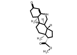 COC(=O)[C@H]1CC[C@H]2[C@@H]3CNC4=CC(=O)CC[C@]4(C)[C@H]3CC[C@]12C